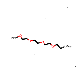 CCCOCCOCCOCCOCCOC